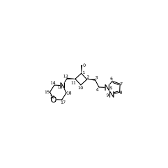 C[C@H]1[C@@H](CCn2cccn2)C[C@H]1CN1CCOCC1